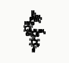 CC1CCC(NC(=O)OC(C)(C)C)CN1c1cc(-c2ccc(C#N)c(F)c2)nc(N)n1